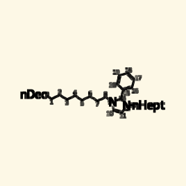 CCCCCCCCCCCCCCCCCCN1C=CN(CCCCCCC)C1c1ccccc1